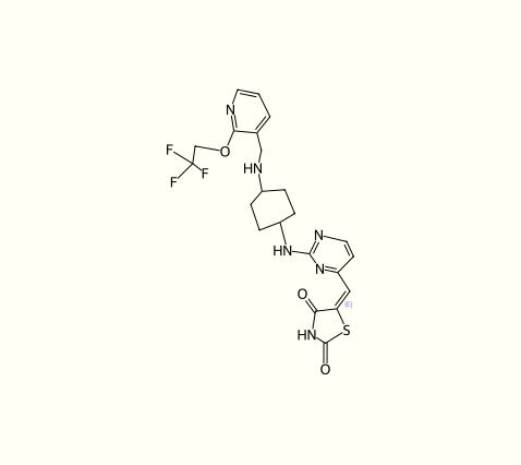 O=C1NC(=O)/C(=C\c2ccnc(NC3CCC(NCc4cccnc4OCC(F)(F)F)CC3)n2)S1